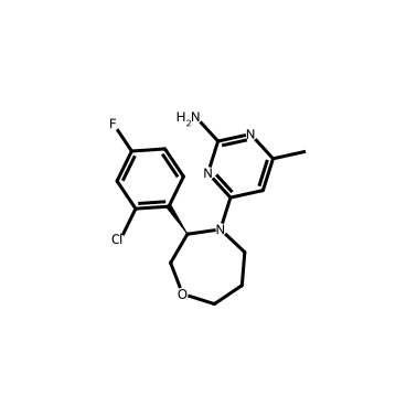 Cc1cc(N2CCCOC[C@H]2c2ccc(F)cc2Cl)nc(N)n1